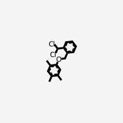 Cc1cc(C)c(OCc2ccccc2C(Cl)Cl)cc1C